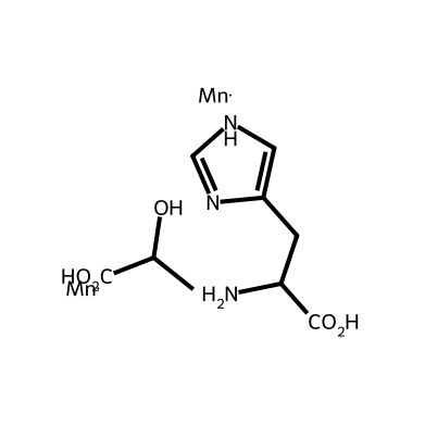 CC(O)C(=O)O.NC(Cc1c[nH]cn1)C(=O)O.[Mn].[Mn]